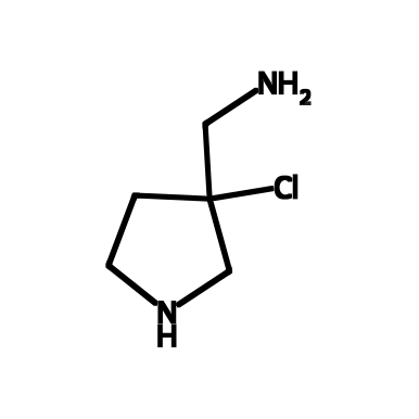 NCC1(Cl)CCNC1